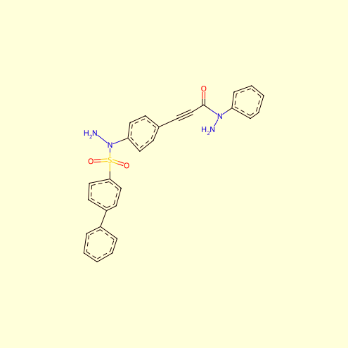 NN(C(=O)C#Cc1ccc(N(N)S(=O)(=O)c2ccc(-c3ccccc3)cc2)cc1)c1ccccc1